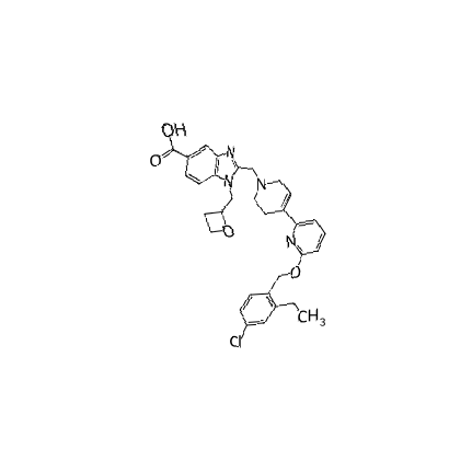 CCc1cc(Cl)ccc1COc1cccc(C2=CCN(Cc3nc4cc(C(=O)O)ccc4n3CC3CCO3)CC2)n1